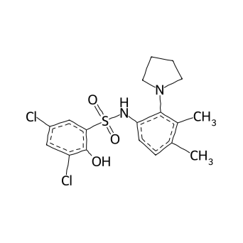 Cc1ccc(NS(=O)(=O)c2cc(Cl)cc(Cl)c2O)c(N2CCCC2)c1C